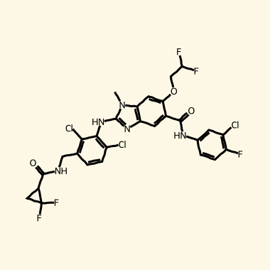 Cn1c(Nc2c(Cl)ccc(CNC(=O)C3CC3(F)F)c2Cl)nc2cc(C(=O)Nc3ccc(F)c(Cl)c3)c(OCC(F)F)cc21